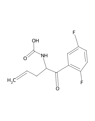 C=CCC(NC(=O)O)C(=O)c1cc(F)ccc1F